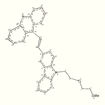 COCCOCCn1c2ccccc2c2cc(/C=C/c3c4ccccc4nc4ccccc34)ccc21